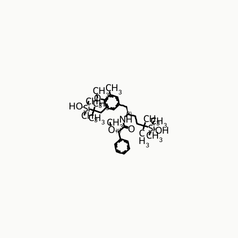 COc1c(C)cc(C[C@@H](CCC(C)(C)[Si](C)(C)O)NC(=O)[C@@H](OC)c2ccccc2)cc1CC(C)(C)[Si](C)(C)O